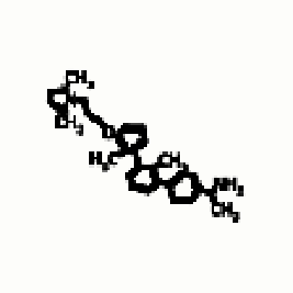 Cc1c(OCCCN2[C@H](C)CC[C@H]2C)cccc1-c1cccc(-c2ccc(C(C)N)cc2)c1C